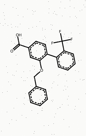 O=C(O)c1ccc(-c2ccccc2C(F)(F)F)c(OCc2ccccc2)c1